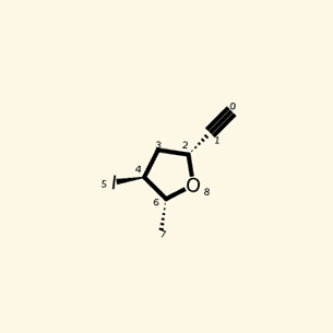 C#C[C@H]1C[C@H](I)[C@@H](C)O1